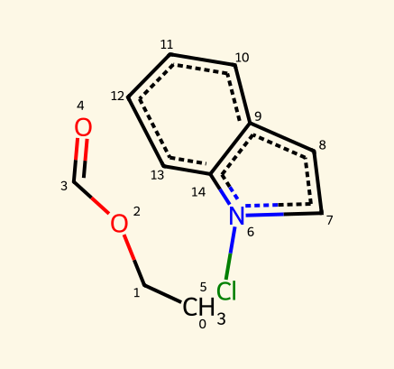 CCOC=O.Cln1ccc2ccccc21